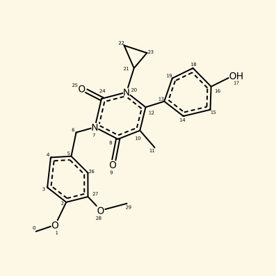 COc1ccc(Cn2c(=O)c(C)c(-c3ccc(O)cc3)n(C3CC3)c2=O)cc1OC